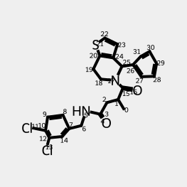 CC(CC(=O)NCc1ccc(Cl)c(Cl)c1)C(=O)N1CCc2sccc2C1c1ccccc1